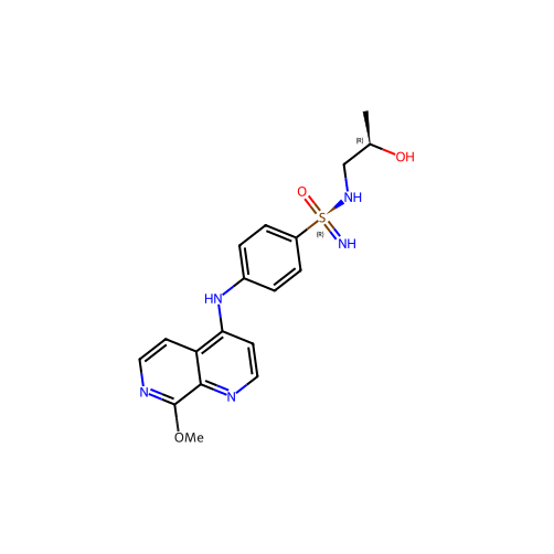 COc1nccc2c(Nc3ccc([S@@](=N)(=O)NC[C@@H](C)O)cc3)ccnc12